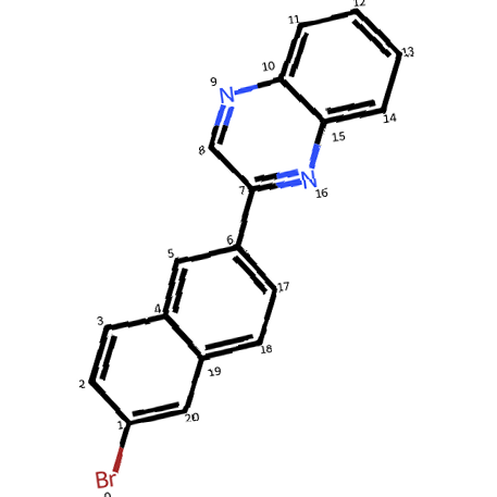 Brc1ccc2cc(-c3cnc4ccccc4n3)ccc2c1